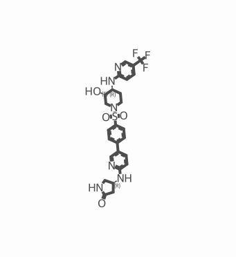 O=C1C[C@@H](Nc2ccc(-c3ccc(S(=O)(=O)N4CC[C@@H](Nc5ccc(C(F)(F)F)cn5)[C@@H](O)C4)cc3)cn2)CN1